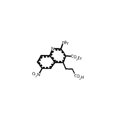 CCCc1nc2ccc([N+](=O)[O-])cc2c(CCC(=O)O)c1C(=O)OCC